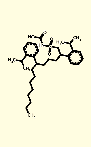 CCCCCCCCC(CCCC(CS(=O)(=O)NC(=O)O)c1ccccc1C(C)C)c1ccccc1C(C)C